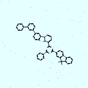 CC1(C)c2ccccc2-c2ccc(-c3nc(C4=CC=CC5c6cc(-c7cccc(-c8ccccc8)c7)ccc6OC45)nc(-c4ccccc4)n3)cc21